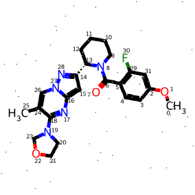 COc1ccc(C(=O)N2CCCC[C@H]2c2cc3nc(N4CCOC4)c(C)cn3n2)c(F)c1